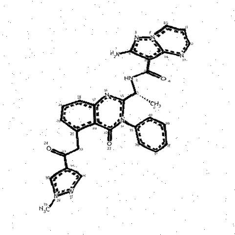 C[C@@H](NC(=O)c1c(N)nn2cccnc12)c1nc2cccc(CC(=O)c3cnn(C)c3)c2c(=O)n1-c1ccccc1